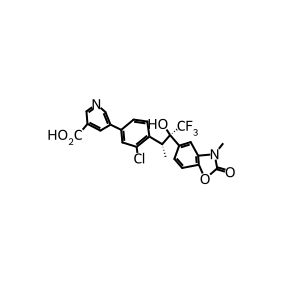 C[C@H](c1ccc(-c2cncc(C(=O)O)c2)cc1Cl)[C@@](O)(c1ccc2oc(=O)n(C)c2c1)C(F)(F)F